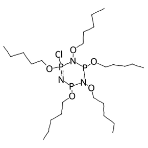 CCCCCON1P(OCCCCC)N=P(Cl)(OCCCCC)N(OCCCCC)P1OCCCCC